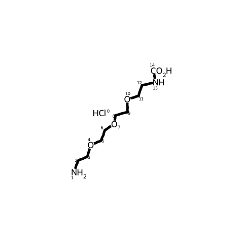 Cl.NCCOCCOCCOCCNC(=O)O